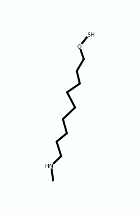 CNCCCCCCCCCOS